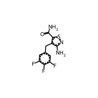 NC(=O)c1snc(N)c1Cc1cc(F)c(F)c(F)c1